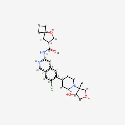 CC1(N2CCC(c3cc4cc(NC(=O)C5COC6(CCC6)C5)ncc4cc3Cl)CC2)COCC1O